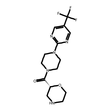 O=C([C@H]1CNCCO1)N1CCN(c2ncc(C(F)(F)F)cn2)CC1